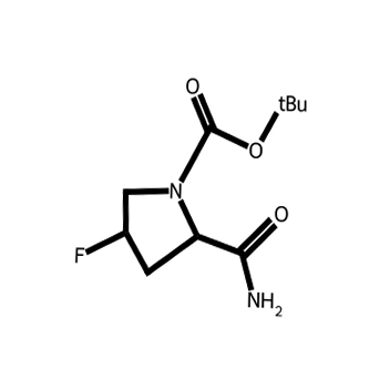 CC(C)(C)OC(=O)N1CC(F)CC1C(N)=O